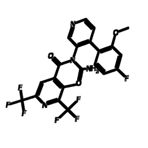 COc1cc(F)ccc1-c1ccncc1N(C(N)=O)C(=O)c1cc(C(F)(F)F)nc(C(F)(F)F)c1C